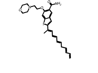 C=CC=CCC=CC=CC=C(C)c1cc2cc(C(N)=O)c(OCCN3CCOCC3)cc2s1